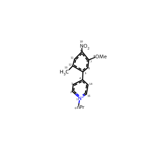 CCC[n+]1ccc(-c2cc(OC)c([N+](=O)[O-])cc2C)cc1